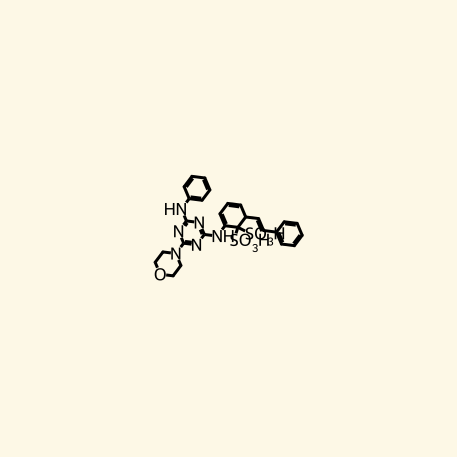 O=S(=O)(O)C1(S(=O)(=O)O)C(Nc2nc(Nc3ccccc3)nc(N3CCOCC3)n2)=CC=CC1C=Cc1ccccc1